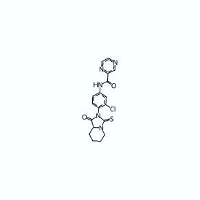 O=C(Nc1ccc(N2C(=O)C3CCCCN3C2=S)c(Cl)c1)c1cnccn1